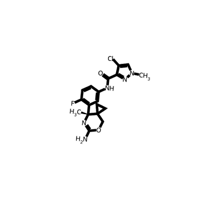 Cn1cc(Cl)c(C(=O)Nc2ccc(F)c([C@@]3(C)N=C(N)OCC34CC4)c2)n1